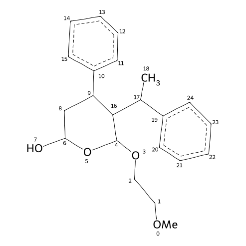 COCCOC1OC(O)CC(c2ccccc2)C1C(C)c1ccccc1